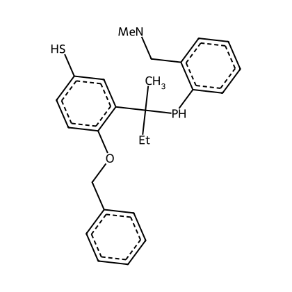 CCC(C)(Pc1ccccc1CNC)c1cc(S)ccc1OCc1ccccc1